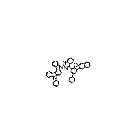 c1ccc(-c2cc(-c3nc(-n4c5ccccc5c5c6c7ccccc7n(-c7ccccc7)c6ccc54)nc4ccccc34)c3oc4cc5ccccc5cc4c3c2)cc1